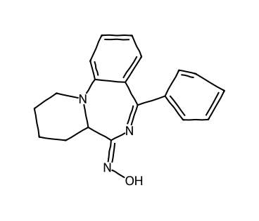 ON=C1N=C(c2ccccc2)c2ccccc2N2CCCCC12